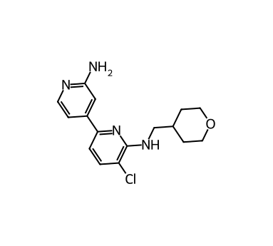 Nc1cc(-c2ccc(Cl)c(NCC3CCOCC3)n2)ccn1